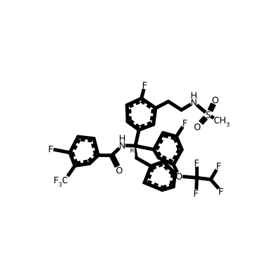 CS(=O)(=O)NCCc1cc([C@@](Cc2ccccc2)(NC(=O)c2ccc(F)c(C(F)(F)F)c2)c2cc(F)cc(OC(F)(F)C(F)F)c2)ccc1F